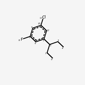 CCC(CC)c1cc(F)cc(Cl)c1